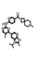 Cc1nc2ncc(-c3nc(Nc4ccc(C(=O)N5CC6(CCN(C)CC6)C5)cn4)ncc3F)cc2n1C(C)C